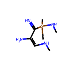 CN/C=C(/N)C(=N)S(C)(C)NC